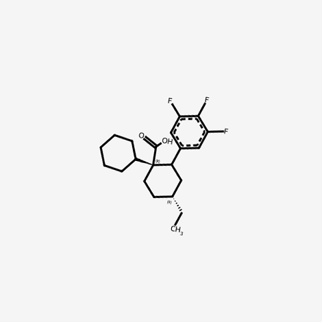 CC[C@@H]1CC[C@@](C(=O)O)(C2CCCCC2)C(c2cc(F)c(F)c(F)c2)C1